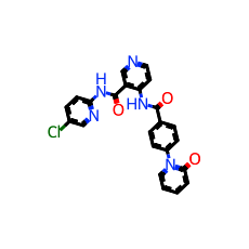 O=C(Nc1ccncc1C(=O)Nc1ccc(Cl)cn1)c1ccc(-n2ccccc2=O)cc1